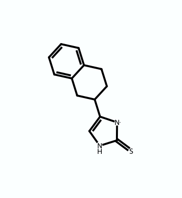 S=C1[N]C(C2CCc3ccccc3C2)=CN1